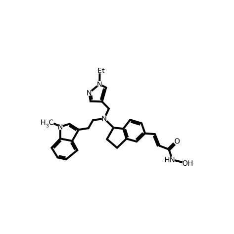 CCn1cc(CN(CCc2cn(C)c3ccccc23)C2CCc3cc(C=CC(=O)NO)ccc32)cn1